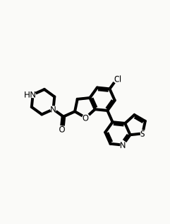 O=C(C1Cc2cc(Cl)cc(-c3ccnc4sccc34)c2O1)N1CCNCC1